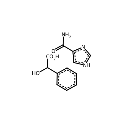 NC(=O)c1c[nH]cn1.O=C(O)C(O)c1ccccc1